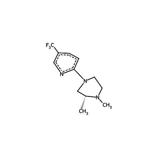 C[C@@H]1CN(c2ccc(C(F)(F)F)cn2)CCN1C